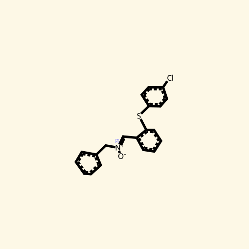 [O-]/[N+](=C\c1ccccc1Sc1ccc(Cl)cc1)Cc1ccccc1